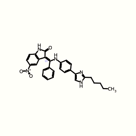 CCCCCc1nc(-c2ccc(N/C(=C3\C(=O)Nc4ccc([N+](=O)[O-])cc43)c3ccccc3)cc2)c[nH]1